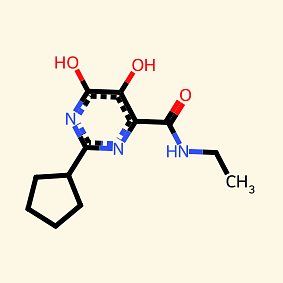 CCNC(=O)c1nc(C2CCCC2)nc(O)c1O